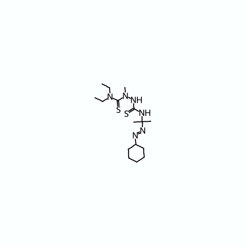 CCN(CC)C(=S)N(C)NC(=S)NC(C)(C)N=NC1CCCCC1